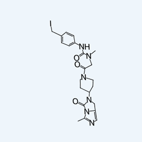 Cc1ncc2n1C(=O)N(C1CCN(C(=O)CN(C)C(=O)Nc3ccc(CI)cc3)CC1)C2